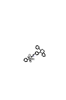 O=C(/C=C/c1ccc(C2c3ccccc3CCC2c2ccccc2)cc1)NS(=O)(=O)c1ccccc1